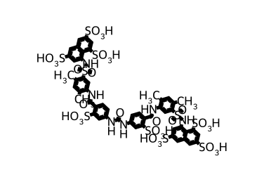 Cc1cc(C)c(S(=O)(=O)Nc2cc(S(=O)(=O)O)cc3cc(S(=O)(=O)O)cc(S(=O)(=O)O)c23)cc1NC(=O)c1ccc(NC(=O)Nc2ccc(C(=O)Nc3cc(S(=O)(=O)Nc4cc(S(=O)(=O)O)cc5cc(S(=O)(=O)O)cc(S(=O)(=O)O)c45)c(C)cc3C)c(S(=O)(=O)O)c2)cc1S(=O)(=O)O